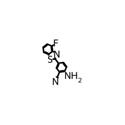 N#Cc1cc(-c2nc3c(F)cccc3s2)ccc1N